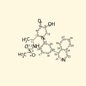 CC(NS(C)(=O)=O)c1cc(=O)c(O)cn1-c1cccc(-c2cncc3ccccc23)c1